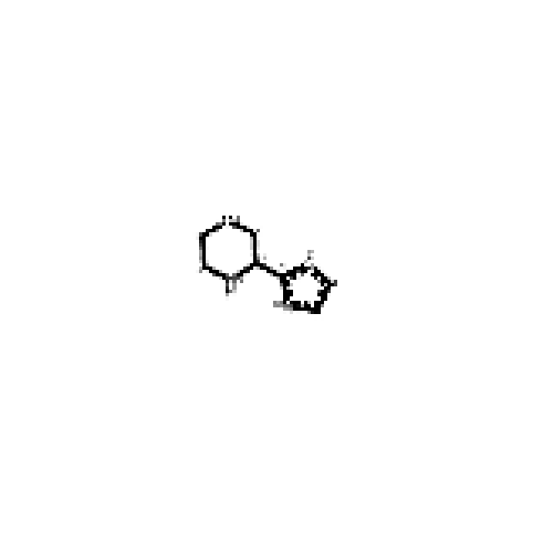 c1csc(C2COCCN2)n1